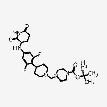 CC(C)(C)OC(=O)N1CCN(CN2CCC(c3c(F)cc(NC4CCC(=O)NC4=O)cc3F)CC2)CC1